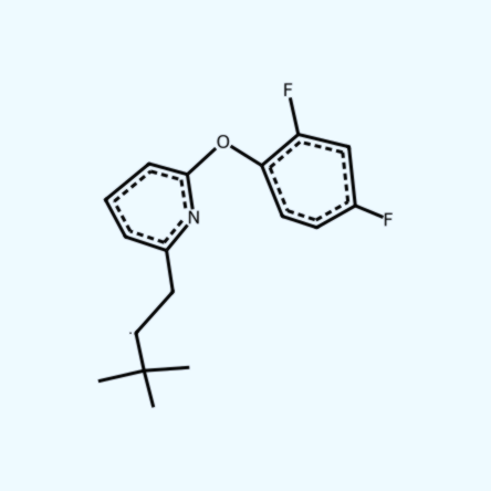 CC(C)(C)[CH]Cc1cccc(Oc2ccc(F)cc2F)n1